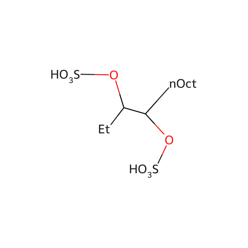 CCCCCCCCC(OS(=O)(=O)O)C(CC)OS(=O)(=O)O